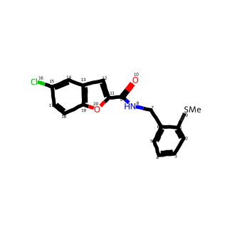 CSc1ccccc1CNC(=O)c1cc2cc(Cl)ccc2o1